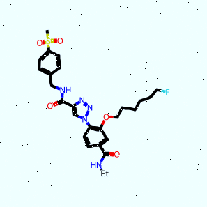 CCNC(=O)c1ccc(-n2cc(C(=O)NCc3ccc(S(C)(=O)=O)cc3)nn2)c(OCCCCCCF)c1